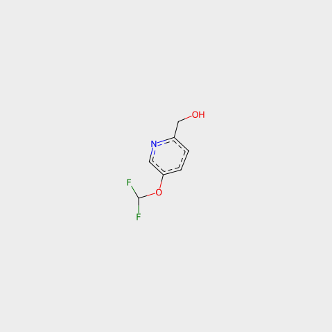 OCc1ccc(OC(F)F)cn1